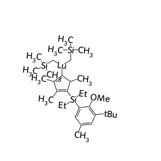 CC[Si](CC)(C1=C(C)C(C)=[C]([Lu]([CH2][Si](C)(C)C)[CH2][Si](C)(C)C)C1C)c1cc(C)cc(C(C)(C)C)c1OC